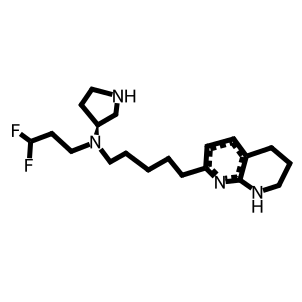 FC(F)CCN(CCCCCc1ccc2c(n1)NCCC2)[C@H]1CCNC1